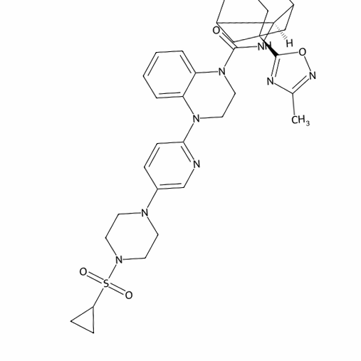 Cc1noc([C@]23CC4CC(C2)[C@H](NC(=O)N2CCN(c5ccc(N6CCN(S(=O)(=O)C7CC7)CC6)cn5)c5ccccc52)C(C4)C3)n1